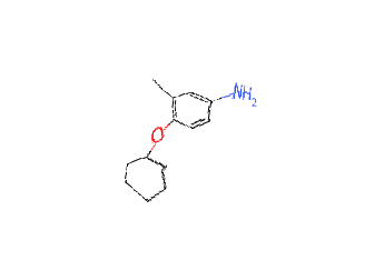 Cc1cc(N)ccc1OC1CCCCC1